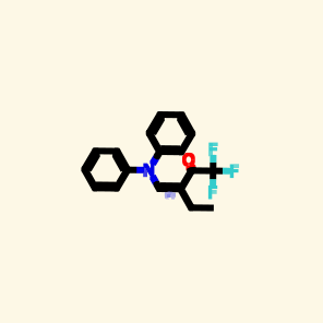 CC/C(=C/N(c1ccccc1)c1ccccc1)C(=O)C(F)(F)F